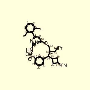 Cc1cccc(C)c1-c1cc2nc(n1)NS(=O)(=O)c1cccc(c1)C(C1CC(C#N)C1)[C@H](CC(C)C)CO2